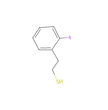 SCCc1ccccc1I